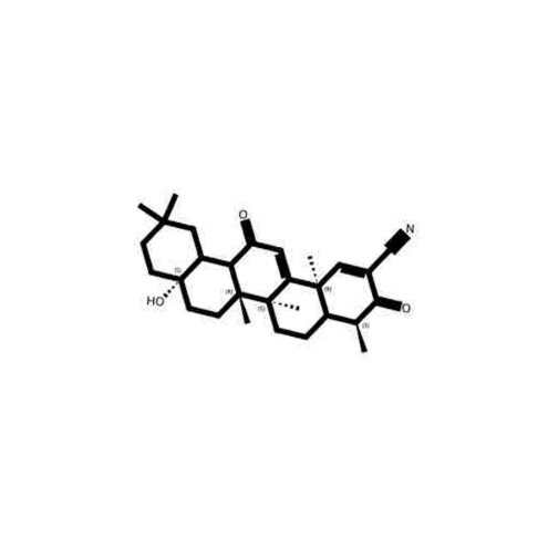 C[C@@H]1C(=O)C(C#N)=C[C@]2(C)C3=CC(=O)C4C5CC(C)(C)CC[C@]5(O)CC[C@@]4(C)[C@]3(C)CCC12